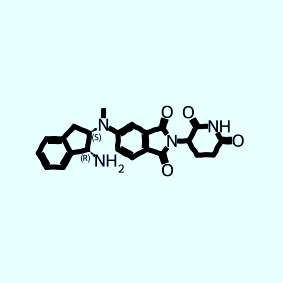 CN(c1ccc2c(c1)C(=O)N(C1CCC(=O)NC1=O)C2=O)[C@H]1Cc2ccccc2[C@H]1N